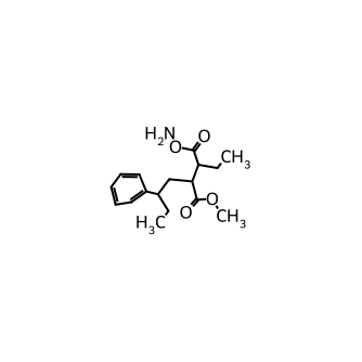 CCC(CC(C(=O)OC)C(CC)C(=O)ON)c1ccccc1